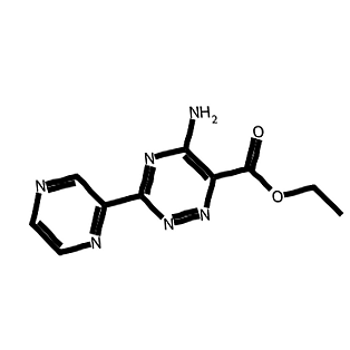 CCOC(=O)c1nnc(-c2cnccn2)nc1N